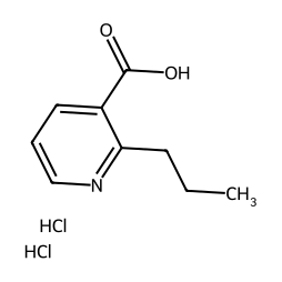 CCCc1ncccc1C(=O)O.Cl.Cl